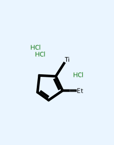 CCC1=[C]([Ti])CC=C1.Cl.Cl.Cl